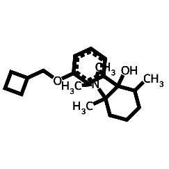 CC1CCCC(C)(N(C)C)C1(O)c1cccc(OCC2CCC2)c1